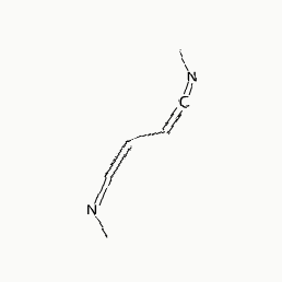 CN=C=CC=C=NC